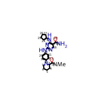 CNC(=O)C1CCCCN1c1ccc(Nc2ncc(C(N)=O)c(NC3CCCC3)n2)cc1